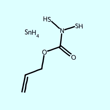 C=CCOC(=O)N(S)S.[SnH4]